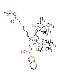 COC(=O)CCCCCC[C@@H]1[C@@H](CCC(O)c2cc3ccccc3s2)[C@H](O[Si](C)(C)C(C)(C)C)C[C@@H]1O[Si](C)(C)C(C)(C)C